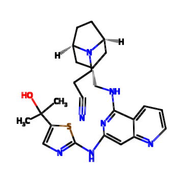 CC(C)(O)c1cnc(Nc2cc3ncccc3c(NC[C@@H]3C[C@H]4CC[C@@H](C3)N4CCC#N)n2)s1